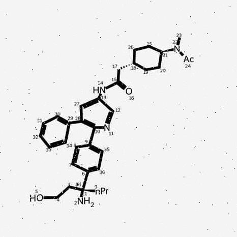 CCC[C@@](N)(CCO)c1ccc(-c2ncc(NC(=O)C[C@H]3CC[C@H](N(C)C(C)=O)CC3)cc2-c2ccccc2)cc1